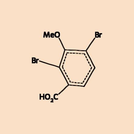 COc1c(Br)ccc(C(=O)O)c1Br